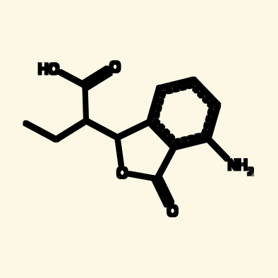 CCC(C(=O)O)C1OC(=O)c2c(N)cccc21